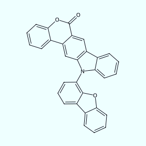 O=c1oc2ccccc2c2cc3c(cc12)c1ccccc1n3-c1cccc2c1oc1ccccc12